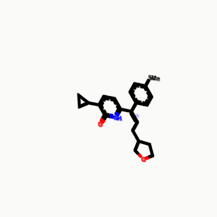 CSc1ccc(/C(=C/CC2CCOC2)c2ccc(C3CC3)c(=O)[nH]2)cc1